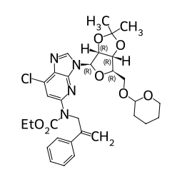 C=C(CN(C(=O)OCC)c1cc(Cl)c2ncn([C@@H]3O[C@H](COC4CCCCO4)[C@H]4OC(C)(C)O[C@H]43)c2n1)c1ccccc1